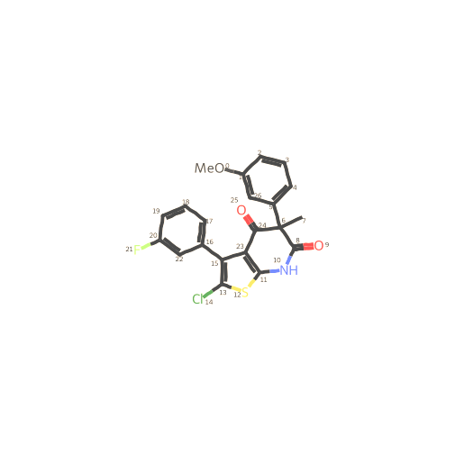 COc1cccc(C2(C)C(=O)Nc3sc(Cl)c(-c4cccc(F)c4)c3C2=O)c1